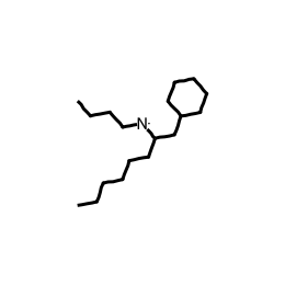 CCCCCCC(CC1CCCCC1)[N]CCCC